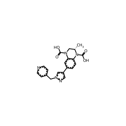 C[C@H]1CN(C(=O)O)c2cc(-c3cnn(Cc4ccncc4)c3)ccc2N1C(=O)O